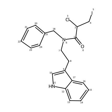 O=C(C(Cl)CI)N(CCc1c[nH]c2ccccc12)Cc1ccccc1